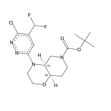 CC(C)(C)OC(=O)N1CC[C@H]2OCCN(c3cc(C(F)F)c(Cl)nn3)[C@H]2C1